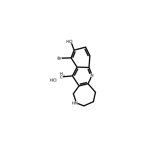 Cc1c2c(nc3ccc(O)c(Br)c13)CCCNC2.Cl